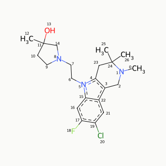 CN1Cc2c(n(CCN3CCC(C)(O)C3)c3cc(F)c(Cl)cc23)CC1(C)C